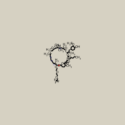 CCCCCN1C(=O)O[C@H]([C@H](C)C[C@@H]2CC[C@@H](O)[C@H](OC)C2)CC(=O)[C@H](C)/C=C(\C)[C@@H](O)[C@@H](CC)C(=O)[C@H](C)C[C@H](C)/C=C/C=C/C=C(\C)C(OCCOCCOCC(F)(F)F)C[C@@H]2CC[C@@H](C)[C@@](O)(O2)C(=O)C1=O